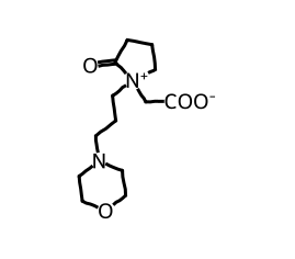 O=C([O-])C[N+]1(CCCN2CCOCC2)CCCC1=O